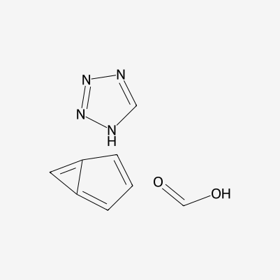 O=CO.c1cc2cc-2c1.c1nnn[nH]1